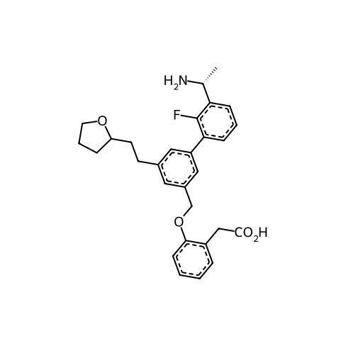 C[C@@H](N)c1cccc(-c2cc(CCC3CCCO3)cc(COc3ccccc3CC(=O)O)c2)c1F